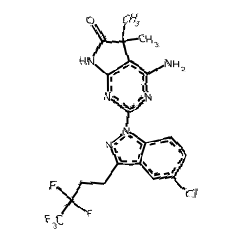 CC1(C)C(=O)Nc2nc(-n3nc(CCC(F)(F)C(F)(F)F)c4cc(Cl)ccc43)nc(N)c21